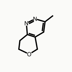 Cc1cc2c(nn1)CCOC2